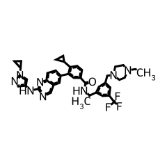 CCN1CCN(Cc2cc(C(C)NC(=O)c3ccc(C4CC4)c(-c4ccc5nc(Nc6cnn(C7CC7)c6)ncc5c4)c3)cc(C(F)(F)F)c2)CC1